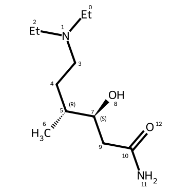 CCN(CC)CC[C@@H](C)[C@@H](O)CC(N)=O